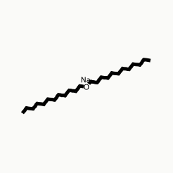 CCCCCCCCCCCCOCCCCCCCCCCCC.[Na]